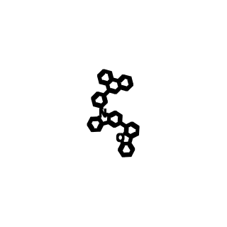 c1cc(-c2cc3ccccc3c3ccccc23)cc(-n2c3ccccc3c3cc(-c4cccc5c4oc4ccccc45)ccc32)c1